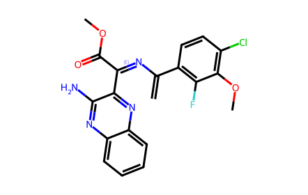 C=C(/N=C(/C(=O)OC)c1nc2ccccc2nc1N)c1ccc(Cl)c(OC)c1F